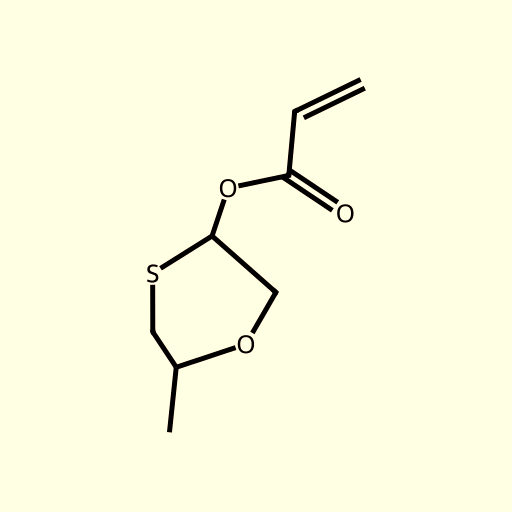 C=CC(=O)OC1COC(C)CS1